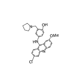 COc1ccc2nc3cc(Cl)ccc3c(Nc3ccc(O)c(CN4CCCC4)c3)c2c1